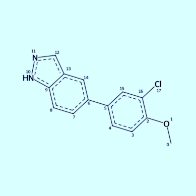 COc1ccc(-c2ccc3[nH]ncc3c2)cc1Cl